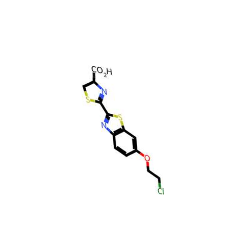 O=C(O)C1CSC(c2nc3ccc(OCCCl)cc3s2)=N1